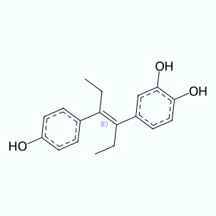 CC/C(=C(/CC)c1ccc(O)c(O)c1)c1ccc(O)cc1